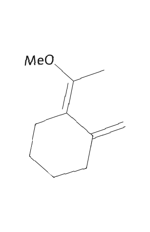 C=C1CCCCC1=C(C)OC